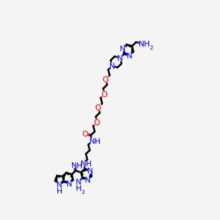 N=C(c1cnc2[nH]ccc2c1)c1c(N)ncnc1NCCCCNC(=O)CCOCCOCCOCCOCCN1CCN(c2ncc(CN)cn2)CC1